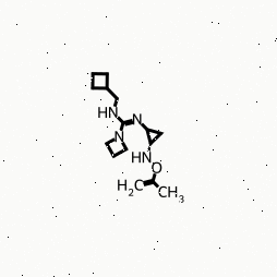 C=C(C)ON[C@@H]1CC1N=C(NCC1CCC1)N1CCC1